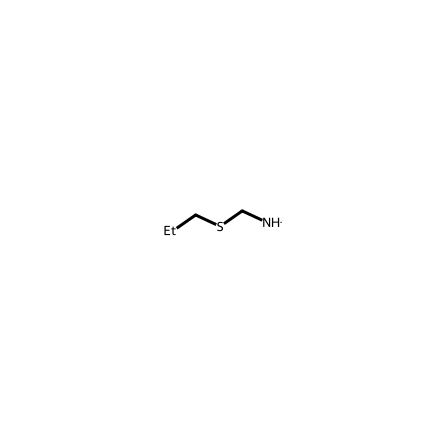 CCCSC[NH]